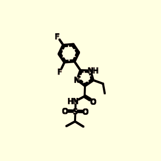 CCc1[nH]c(-c2ccc(F)cc2F)nc1C(=O)NS(=O)(=O)C(C)C